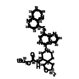 C[C@H]1CC2(CCN(c3ncc(Sc4ccnc5cccnc45)c4nccn34)CC2NC(=O)OC(C)(C)C)CO1